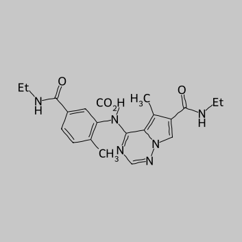 CCNC(=O)c1ccc(C)c(N(C(=O)O)c2ncnn3cc(C(=O)NCC)c(C)c23)c1